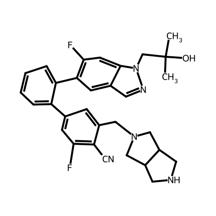 CC(C)(O)Cn1ncc2cc(-c3ccccc3-c3cc(F)c(C#N)c(CN4CC5CNCC5C4)c3)c(F)cc21